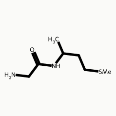 CSCCC(C)NC(=O)CN